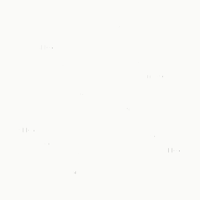 CCCCCCOc1ccc2c(Br)c(OCCCCCC)ccc2c1Br.CCCCCCSc1cc(Br)c(SCCCCCC)cc1Br